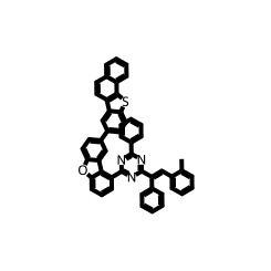 Cc1ccccc1/C=C(\c1ccccc1)c1nc(-c2ccccc2)nc(-c2cccc3oc4ccc(-c5ccc6sc7c8ccccc8ccc7c6c5)cc4c23)n1